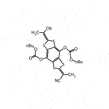 CCCCOC(=O)Oc1c2c(c(OC(=O)OCCCC)c3c1SC(=C(C)C#N)S3)SC(=C(C)C#N)S2